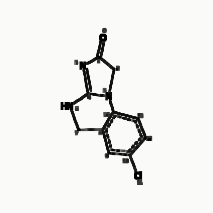 O=C1CN2C(=N1)NCc1cc(Cl)ccc12